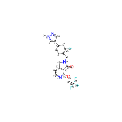 Cn1cc(-c2ccc(CN3Cc4ccnc(OCC(F)(F)F)c4C3=O)c(F)c2)cn1